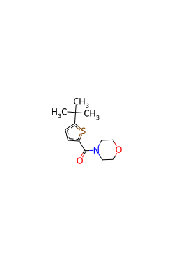 CC(C)(C)c1ccc(C(=O)N2CCOCC2)s1